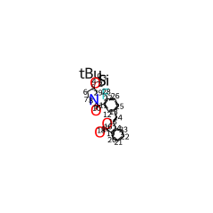 CC(C)(C)[Si](C)(C)O[C@@H]1CCN(C(=O)c2cc(C=C3OC(=O)c4ccccc43)ccc2F)C1